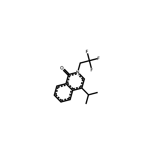 CC(C)c1cn(CC(F)(F)F)c(=O)c2ccccc12